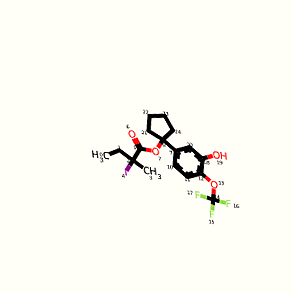 CCC(C)(I)C(=O)OC1(c2ccc(OC(F)(F)F)c(O)c2)CCCC1